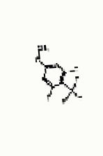 COc1cc(F)c(C(F)(F)F)c(F)c1